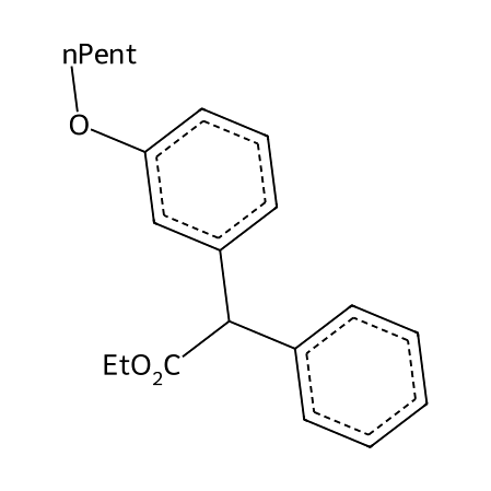 CCCCCOc1cccc(C(C(=O)OCC)c2ccccc2)c1